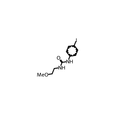 COCCNC(=O)Nc1ccc(I)cc1